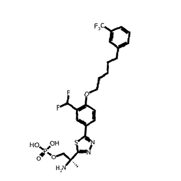 C[C@](N)(COP(=O)(O)O)c1nnc(-c2ccc(OCCCCCc3cccc(C(F)(F)F)c3)c(C(F)F)c2)s1